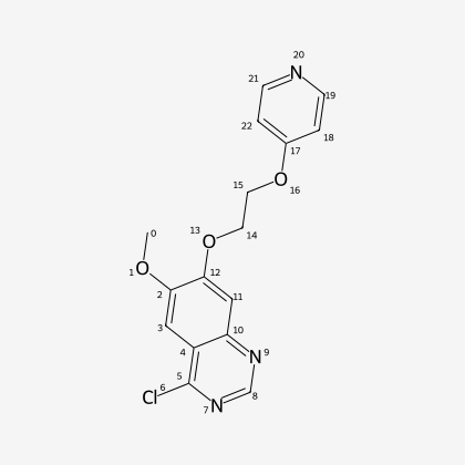 COc1cc2c(Cl)ncnc2cc1OCCOc1ccncc1